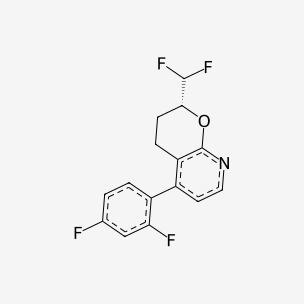 Fc1ccc(-c2ccnc3c2CC[C@H](C(F)F)O3)c(F)c1